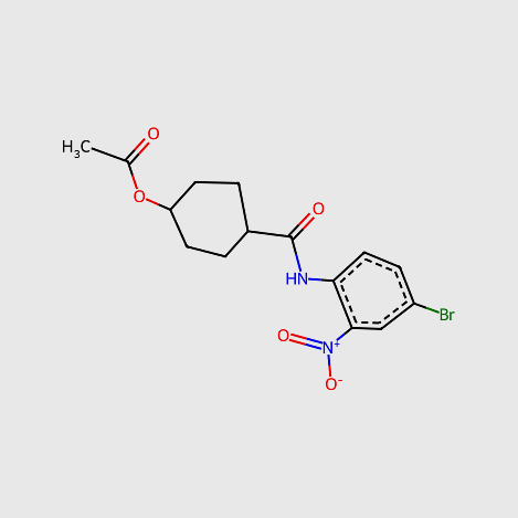 CC(=O)OC1CCC(C(=O)Nc2ccc(Br)cc2[N+](=O)[O-])CC1